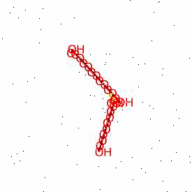 O=C(O)COCCOCCOCCOCCOCCOCCOCCOCCOCCOC(COCC(=O)O)SC(CO)OCCOCCOCCOCCOCCOCCOCCOCCOCCO